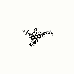 C=CC(=O)Oc1ccc2c(OC(=O)C=C)c3ccc(OC(=O)C=C)c(OC(=O)C=C)c3cc2c1